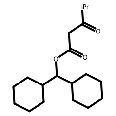 CC(C)C(=O)CC(=O)OC(C1CCCCC1)C1CCCCC1